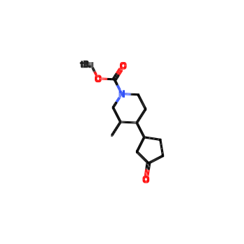 CC1CN(C(=O)OC(C)(C)C)CCC1C1CCC(=O)C1